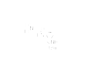 CN(C)CCC(=O)Nc1cccc2[nH]c(C(C)(C)C)cc12